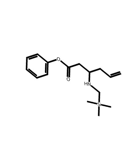 C=CCC(CC(=O)Oc1ccccc1)NC[Si](C)(C)C